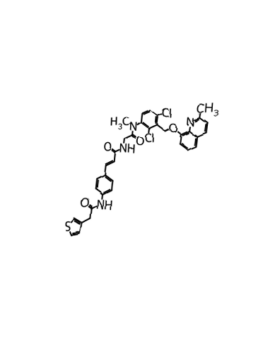 Cc1ccc2cccc(OCc3c(Cl)ccc(N(C)C(=O)CNC(=O)C=Cc4ccc(NC(=O)Cc5ccsc5)cc4)c3Cl)c2n1